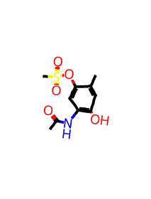 CC(=O)Nc1cc(OS(C)(=O)=O)c(C)cc1O